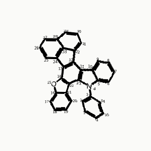 c1ccc(-n2c3ccccc3c3c4c(c5oc6ccccc6c5c32)-c2cccc3cccc-4c23)cc1